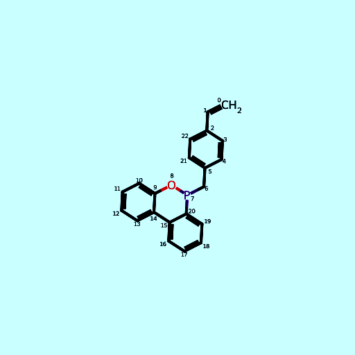 C=Cc1ccc(CP2Oc3ccccc3-c3ccccc32)cc1